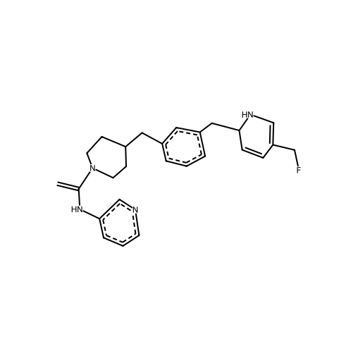 C=C(Nc1cccnc1)N1CCC(Cc2cccc(CC3C=CC(CF)=CN3)c2)CC1